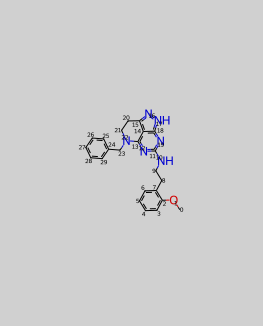 COc1ccccc1CCNc1nc2c3c(n[nH]c3n1)CCN2Cc1ccccc1